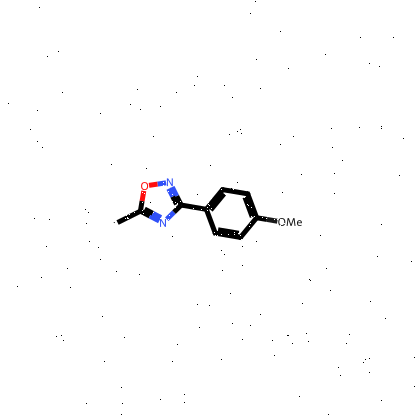 [CH2]c1nc(-c2ccc(OC)cc2)no1